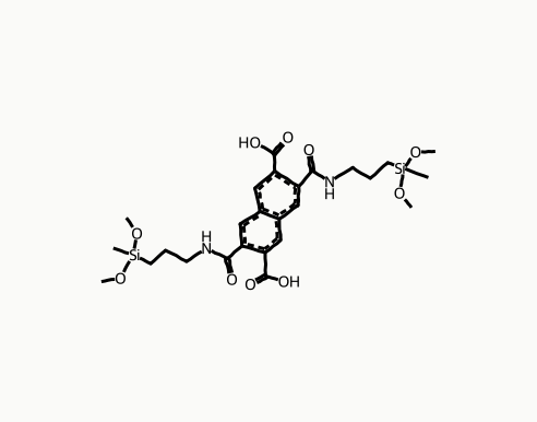 CO[Si](C)(CCCNC(=O)c1cc2cc(C(=O)O)c(C(=O)NCCC[Si](C)(OC)OC)cc2cc1C(=O)O)OC